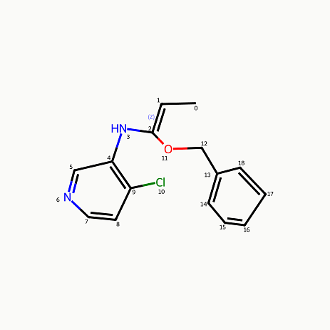 C/C=C(/Nc1cnccc1Cl)OCc1ccccc1